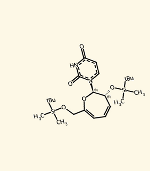 CC(C)(C)[Si](C)(C)OCC1=CC=C[C@@H](O[Si](C)(C)C(C)(C)C)[C@H](n2ccc(=O)[nH]c2=O)O1